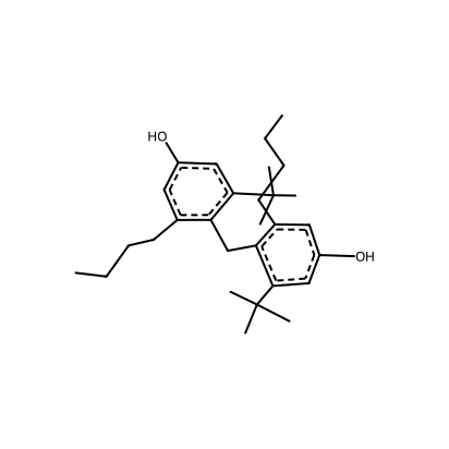 CCCCc1cc(O)cc(C(C)(C)C)c1Cc1c(CCCC)cc(O)cc1C(C)(C)C